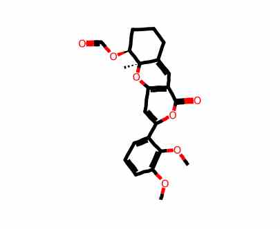 COc1cccc(-c2cc3c(c(=O)o2)C=C2CCC[C@H](OC=O)[C@]2(C)O3)c1OC